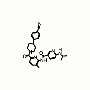 Cc1ccc(C(=O)N2CCC(c3ccc(C#N)cc3)CC2)nc1NC(=O)c1ccc(NC(C)C)nc1